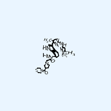 Cc1cnc(Nc2cc(C)n(C)n2)nc1-c1c[nH]c2c(NC(=O)CN3CCC(C(=O)N4CCSCC4)C3)cccc12